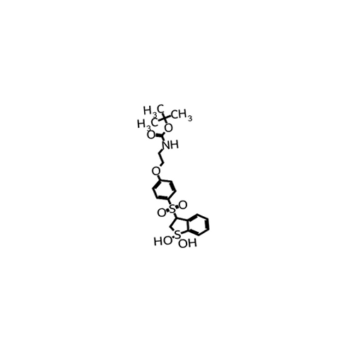 CC(C)(C)OC(=O)NCCOc1ccc(S(=O)(=O)C2CS(O)(O)c3ccccc32)cc1